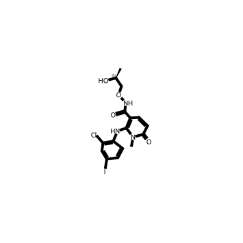 C[C@H](O)CONC(=O)c1ccc(=O)n(C)c1Nc1ccc(I)cc1Cl